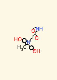 Cc1c(-c2ccc(O)cc2)n(CCCCC(C=O)C2CNCCO2)c2ccc(O)cc12